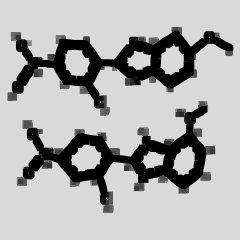 COc1ccc2nc(-c3ccc([N+](=O)[O-])cc3Cl)sc2c1.COc1cccc2nc(-c3ccc([N+](=O)[O-])cc3Cl)sc12